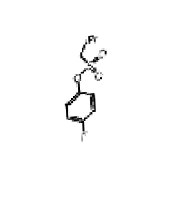 CC(C)CS(=O)(=O)Oc1ccc(F)cc1